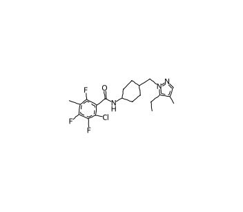 CCc1c(C)cnn1CC1CCC(NC(=O)c2c(F)c(C)c(F)c(F)c2Cl)CC1